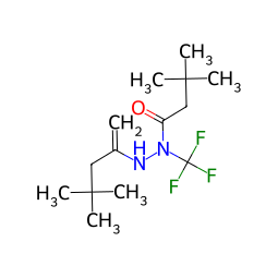 C=C(CC(C)(C)C)NN(C(=O)CC(C)(C)C)C(F)(F)F